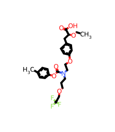 CCOC(Cc1ccc(OCCN(CCCOCC(F)(F)F)C(=O)Oc2ccc(C)cc2)cc1)C(=O)O